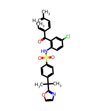 C=C(C)/C=C\C(=C/C)C(=O)c1cc(Cl)ccc1NS(=O)(=O)c1ccc(C(C)(C)c2ncco2)cc1